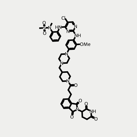 COc1cc(N2CCN(CC3CCN(C(=O)CCc4cccc5c4C(=O)N(C4CCC(=O)NC4=O)C5=O)CC3)CC2)ccc1Nc1ncc(Cl)c(Nc2ccccc2N(C)S(C)(=O)=O)n1